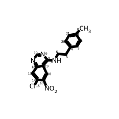 Cc1ccc(CCNc2ncnc3cc(Cl)c([N+](=O)[O-])cc23)cc1